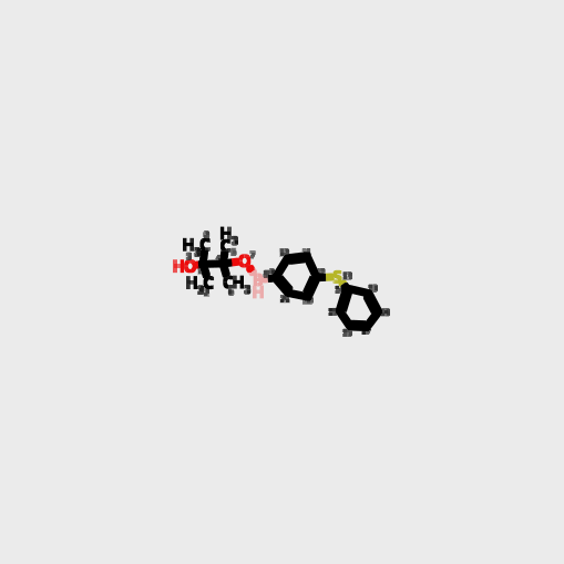 CC(C)(O)C(C)(C)OBc1ccc(Sc2ccccc2)cc1